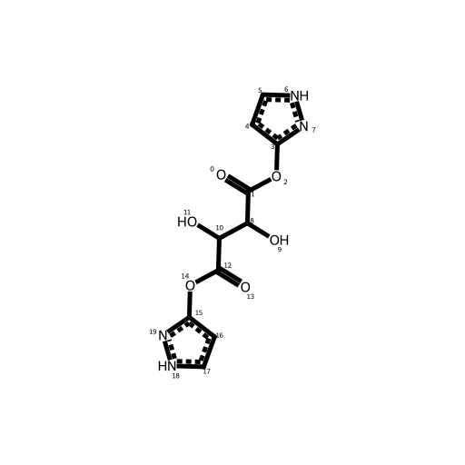 O=C(Oc1cc[nH]n1)C(O)C(O)C(=O)Oc1cc[nH]n1